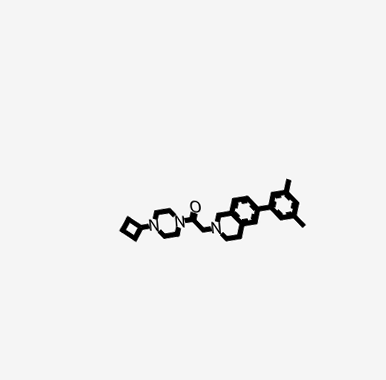 Cc1cc(C)cc(-c2ccc3c(c2)CCN(CC(=O)N2CCN(C4CCC4)CC2)C3)c1